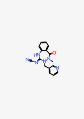 CN1C(=O)c2ccccc2N/C(=N\C#N)N1Cc1cccnc1